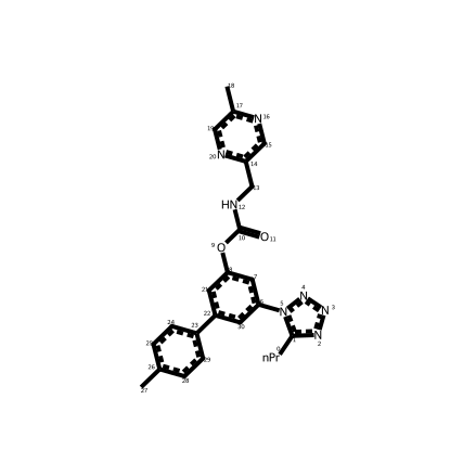 CCCc1nnnn1-c1cc(OC(=O)NCc2cnc(C)cn2)cc(-c2ccc(C)cc2)c1